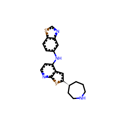 c1cc(Nc2ccc3scnc3c2)c2cc([C@@H]3CCCNCC3)sc2n1